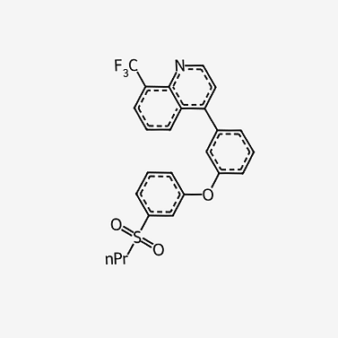 CCCS(=O)(=O)c1cccc(Oc2cccc(-c3ccnc4c(C(F)(F)F)cccc34)c2)c1